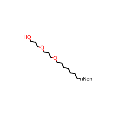 CCCCCCCCCCCCCCCCOCCCOCCCO